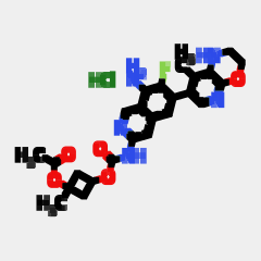 CC(=O)OC1(C)CC(OC(=O)Nc2cc3cc(-c4cnc5c(c4C)NCCO5)c(F)c(N)c3cn2)C1.Cl